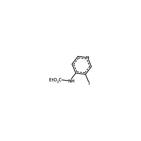 CCOC(=O)Nc1ccncc1I